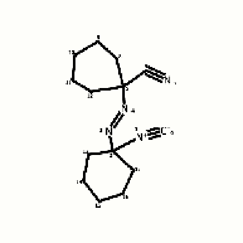 [C-]#[N+]C1(N=NC2(C#N)CCCCC2)CCCCC1